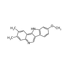 COc1ccc2c(c1)[nH]c1c3cc(C)c(C)cc3ncc21